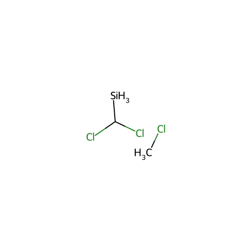 CCl.[SiH3]C(Cl)Cl